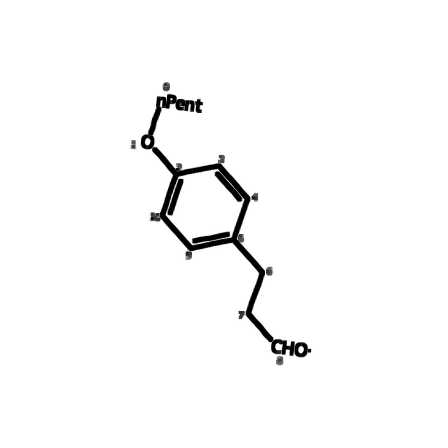 CCCCCOc1ccc(CC[C]=O)cc1